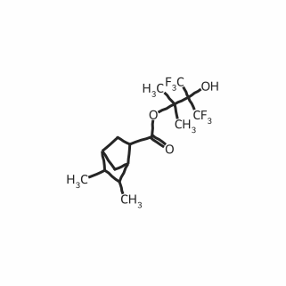 CC1C2CC(C(=O)OC(C)(C)C(O)(C(F)(F)F)C(F)(F)F)C(C2)C1C